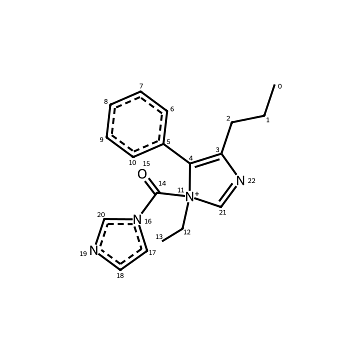 CCCC1=C(c2ccccc2)[N+](CC)(C(=O)n2ccnc2)C=N1